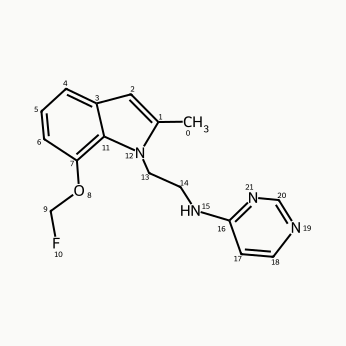 Cc1cc2cccc(OCF)c2n1CCNc1ccncn1